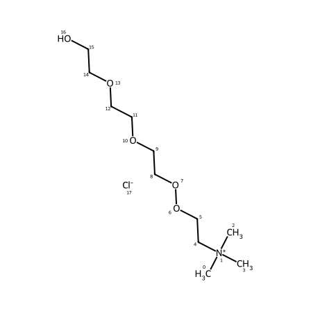 C[N+](C)(C)CCOOCCOCCOCCO.[Cl-]